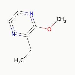 CCc1nccnc1OC